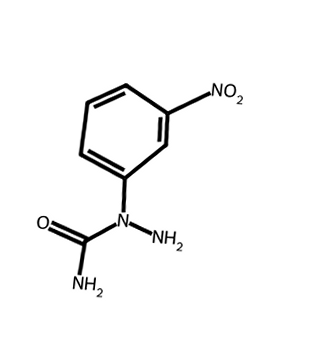 NC(=O)N(N)c1cccc([N+](=O)[O-])c1